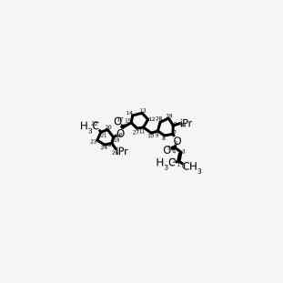 CC(C)=CC(=O)OC1CC(CC2CCCC(C(=O)OC3CC(C)CCC3C(C)C)C2)CCC1C(C)C